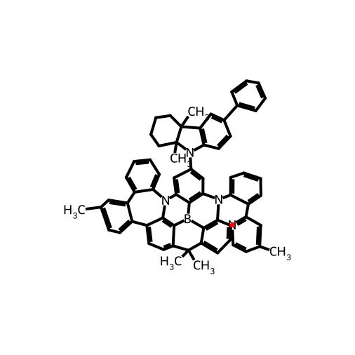 Cc1ccnc(-c2ccccc2N2c3cc(N4c5ccc(-c6ccccc6)cc5C5(C)CCCCC45C)cc4c3B3c5c2cccc5C(C)(C)c2ccc5c(c23)N4c2ccccc2-c2cc(C)ccc2-5)c1